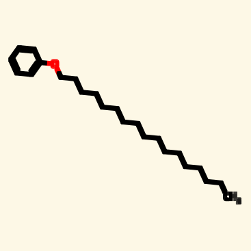 CCCCCCCCCCCCCCCCCOc1ccccc1